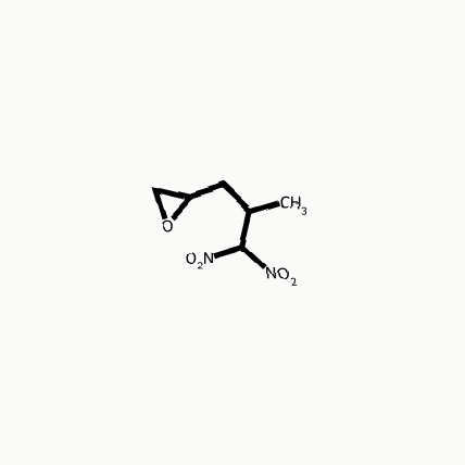 CC(CC1CO1)[C]([N+](=O)[O-])[N+](=O)[O-]